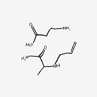 C=CCNC(C)C(N)=O.NCCC(=O)O